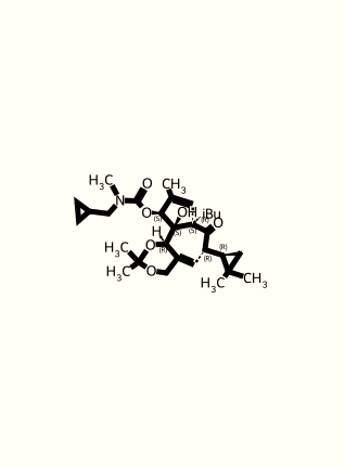 CC[C@@H](C)[C@]12C=C(C)[C@H](OC(=O)N(C)CC3CC3)[C@@]1(O)[C@@H]1OC(C)(C)OCC1=C[C@@H]([C@H]1CC1(C)C)C2=O